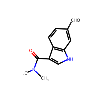 CN(C)C(=O)c1c[nH]c2cc(C=O)ccc12